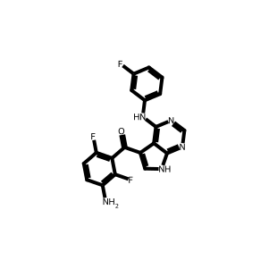 Nc1ccc(F)c(C(=O)c2c[nH]c3ncnc(Nc4cccc(F)c4)c23)c1F